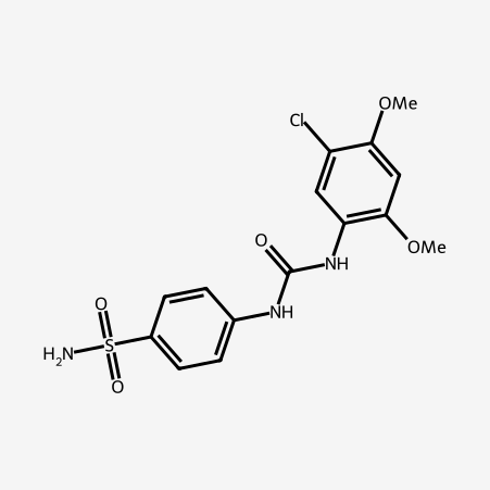 COc1cc(OC)c(NC(=O)Nc2ccc(S(N)(=O)=O)cc2)cc1Cl